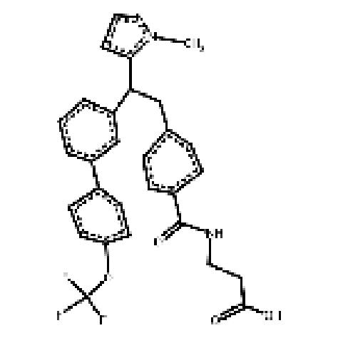 Cn1nccc1C(Cc1ccc(C(=O)NCCC(=O)O)cc1)c1cccc(-c2ccc(OC(F)(F)F)cc2)c1